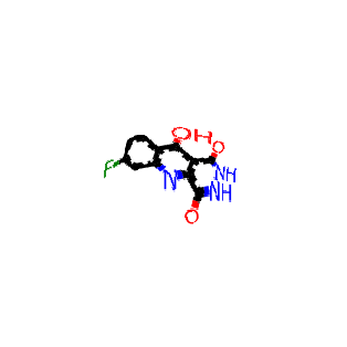 O=c1[nH][nH]c(=O)c2c(O)c3ccc(F)cc3nc12